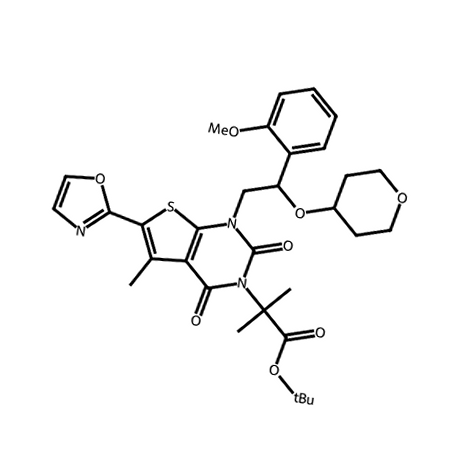 COc1ccccc1C(Cn1c(=O)n(C(C)(C)C(=O)OC(C)(C)C)c(=O)c2c(C)c(-c3ncco3)sc21)OC1CCOCC1